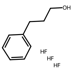 F.F.F.OCCCc1ccccc1